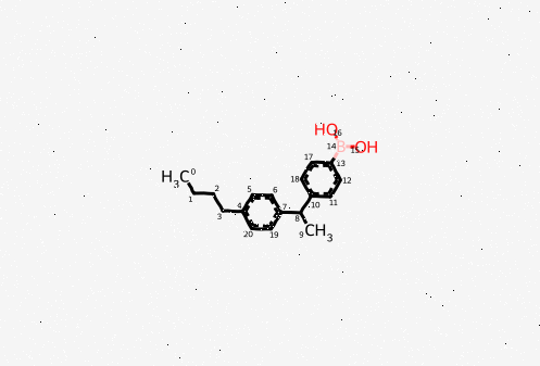 CCCCc1ccc(C(C)c2ccc(B(O)O)cc2)cc1